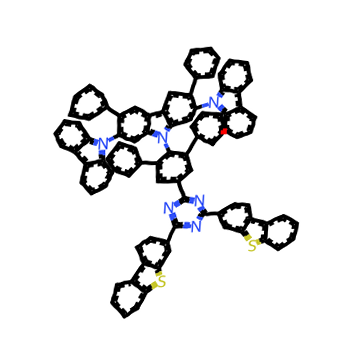 c1ccc(-c2cc3c4cc(-c5ccccc5)c(-n5c6ccccc6c6ccccc65)cc4n(-c4c(-c5ccccc5)cc(-c5nc(-c6ccc7c(c6)sc6ccccc67)nc(-c6ccc7c(c6)sc6ccccc67)n5)cc4-c4ccccc4)c3cc2-n2c3ccccc3c3ccccc32)cc1